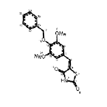 COc1cc(C=C2SC(=O)NC2=O)cc(OC)c1OCc1ccccc1